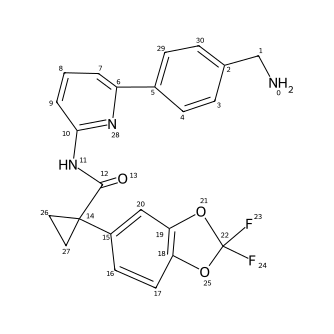 NCc1ccc(-c2cccc(NC(=O)C3(c4ccc5c(c4)OC(F)(F)O5)CC3)n2)cc1